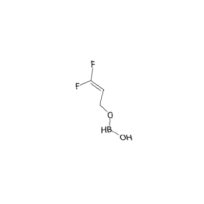 OBOCC=C(F)F